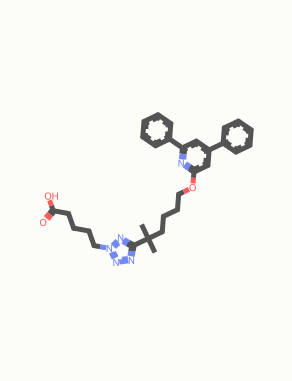 CC(C)(CCCCOc1cc(-c2ccccc2)cc(-c2ccccc2)n1)c1nnn(CCCCC(=O)O)n1